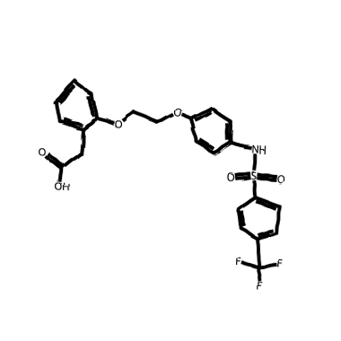 O=C(O)Cc1ccccc1OCCOc1ccc(NS(=O)(=O)c2ccc(C(F)(F)F)cc2)cc1